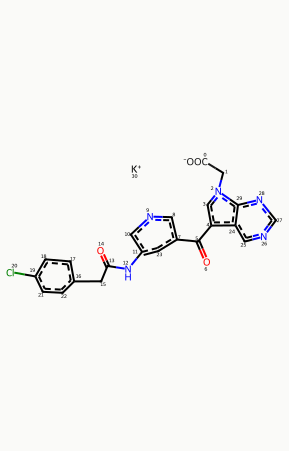 O=C([O-])Cn1cc(C(=O)c2cncc(NC(=O)Cc3ccc(Cl)cc3)c2)c2cncnc21.[K+]